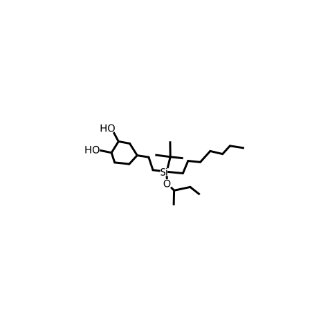 CCCCCCC[Si](CCC1CCC(O)C(O)C1)(OC(C)CC)C(C)(C)C